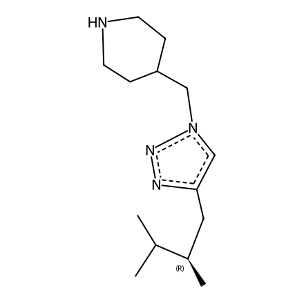 CC(C)[C@H](C)Cc1cn(CC2CCNCC2)nn1